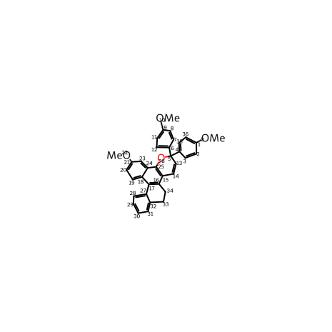 COc1ccc(C2(c3ccc(OC)cc3)C=Cc3c4c(c5ccc(OC)cc5c3O2)-c2ccccc2CC4)cc1